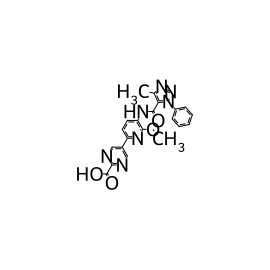 COc1nc(-c2cnc(C(=O)O)nc2)ccc1NC(=O)c1c(C)nnn1-c1ccccc1